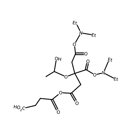 CCN(CC)OC(=O)CC(CC(=O)OC(=O)CCC(=O)O)(OC(C)O)C(=O)ON(CC)CC